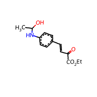 CCOC(=O)C(=O)/C=C/c1ccc(NC(C)O)cc1